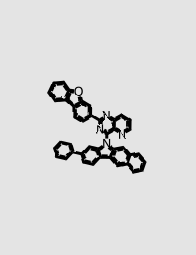 c1ccc(-c2ccc3c4cc5ccccc5cc4n(-c4nc(-c5ccc6c(c5)oc5ccccc56)nc5cccnc45)c3c2)cc1